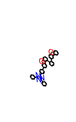 c1ccc(-c2nc(-c3ccccc3)nc(-c3ccc(-c4ccc5c(c4)oc4cccc(-c6ccccc6-c6ccc7oc8ccccc8c7c6)c45)cc3)n2)cc1